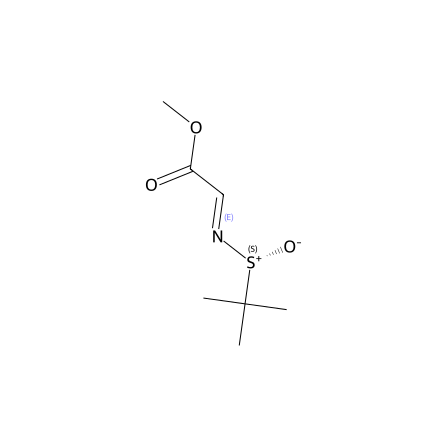 COC(=O)/C=N/[S@+]([O-])C(C)(C)C